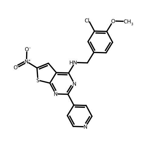 COc1ccc(CNc2nc(-c3ccncc3)nc3sc([N+](=O)[O-])cc23)cc1Cl